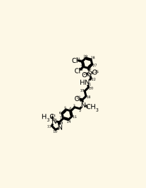 CN(CCc1ccc(C2=NCCN2C)cc1)C(=O)CCCNCS(=O)(=O)c1cccc(Cl)c1Cl